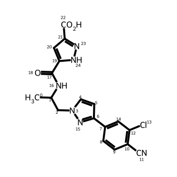 CC(Cn1ccc(-c2ccc(C#N)c(Cl)c2)n1)NC(=O)c1cc(C(=O)O)n[nH]1